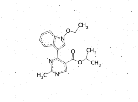 CCOn1cc(-c2nc(C)ncc2C(=O)OC(C)C)c2ccccc21